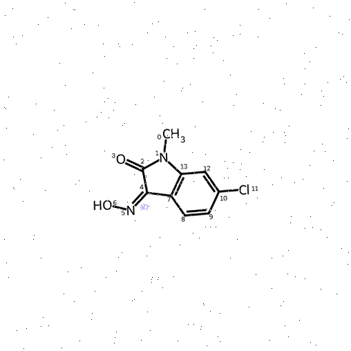 CN1C(=O)/C(=N\O)c2ccc(Cl)cc21